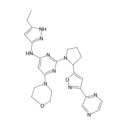 CCc1cc(Nc2cc(N3CCOCC3)nc(N3CCCC3c3cc(-c4cnccn4)no3)n2)n[nH]1